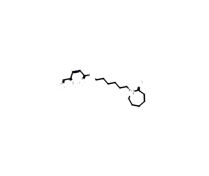 O=CC(=O)/C=C\C(=O)OCCCCCCN1CCCCCC1=O